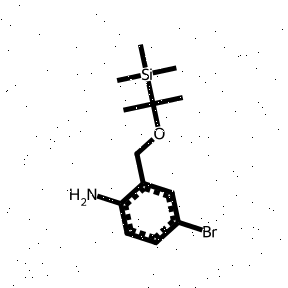 CC(C)(OCc1cc(Br)ccc1N)[Si](C)(C)C